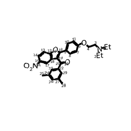 CCN(CC)CCOc1ccc(-c2oc3ccc([N+](=O)[O-])cc3c2C(=O)c2cc(C)cc(C)c2)cc1